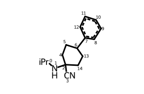 CC(C)NC1(C#N)CCC(c2ccccc2)CC1